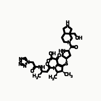 C[C@H](CC(=O)N1C(C(=O)C(=O)O)=C(S[C@@H]2CN[C@H](C(=O)N3CCC4CNCC4(CO)C3)C2)[C@H](C)[C@@H]1C)NC(=O)Cn1cnnn1